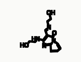 O=c1c(C=NCCO)c(NCCO)nc2ccccn12